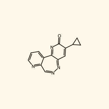 O=c1nc2c3cccnc3cnnc-2cc1C1CC1